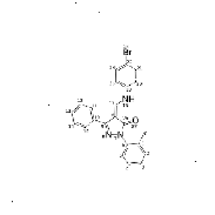 Cc1ccccc1N1N=C(c2ccccc2)C(=CNc2ccc(Br)cc2)C1=O